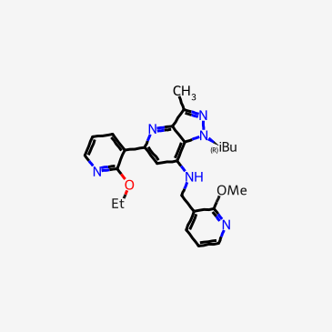 CCOc1ncccc1-c1cc(NCc2cccnc2OC)c2c(n1)c(C)nn2[C@H](C)CC